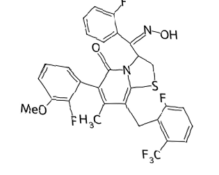 COc1cccc(-c2c(C)c(Cc3c(F)cccc3C(F)(F)F)c3n(c2=O)C(/C(=N\O)c2ccccc2F)CS3)c1F